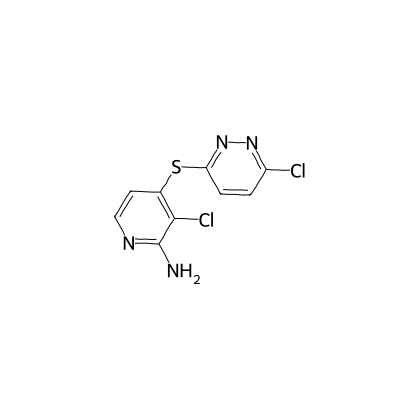 Nc1nccc(Sc2ccc(Cl)nn2)c1Cl